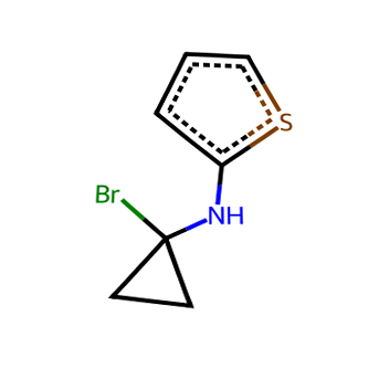 BrC1(Nc2cccs2)CC1